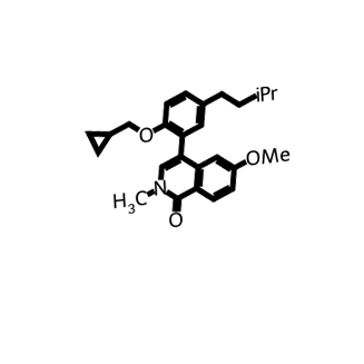 COc1ccc2c(=O)n(C)cc(-c3cc(CCC(C)C)ccc3OCC3CC3)c2c1